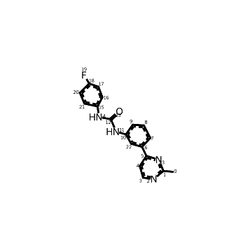 Cc1nccc(-c2cccc(NC(=O)Nc3ccc(F)cc3)c2)n1